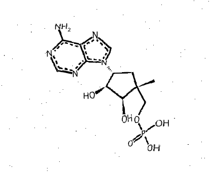 C[C@]1(COP(=O)(O)O)C[C@@H](n2cnc3c(N)ncnc32)[C@H](O)[C@@H]1O